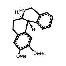 COc1cc2c(cc1OC)[C@H]1c3ccccc3CN[C@@H]1CC2